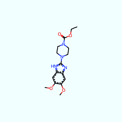 CCOC(=O)N1CCN(c2nc3cc(OC)c(OC)cc3[nH]2)CC1